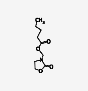 CCCCC(=O)OCN1CCOC1=O